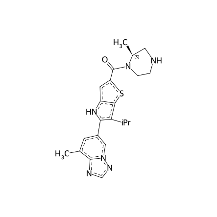 Cc1cc(-c2[nH]c3cc(C(=O)N4CCNC[C@@H]4C)sc3c2C(C)C)cn2ncnc12